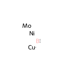 [B].[Cu].[Mo].[Ni]